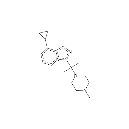 CN1CCN(C(C)(C)c2ncc3c(C4CC4)cccn23)CC1